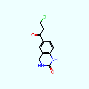 O=C1NCc2cc(C(=O)CCCl)ccc2N1